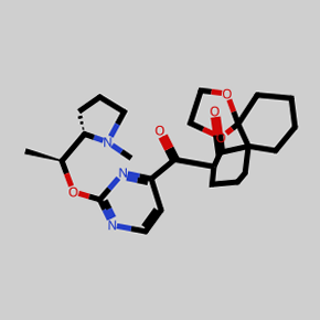 C[C@H](Oc1nccc(C(=O)C2CCCC3(CCCCC34OCCO4)C2=O)n1)[C@@H]1CCCN1C